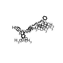 COc1cc2nc(N3CCNCC3)nc(NCc3cn(CCCN(CCCN(C(=O)OC(C)(C)C)C4CCCCC4)C(=O)OC(C)(C)C)nn3)c2cc1OC